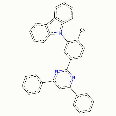 N#Cc1ccc(-c2nc(-c3ccccc3)cc(-c3ccccc3)n2)cc1-n1c2ccccc2c2ccccc21